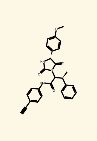 C#Cc1ccc(NC(=O)C([C@@H](C)c2ccccc2)N2C(=O)N[C@H](c3ccc(OC)cc3)C2=O)cc1